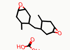 CC1CC2OC2CC1CC1CC2OC2CC1C.O=C(O)O